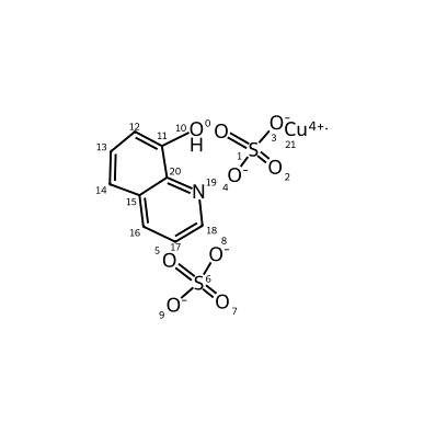 O=S(=O)([O-])[O-].O=S(=O)([O-])[O-].Oc1cccc2cccnc12.[Cu+4]